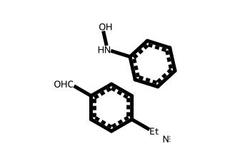 CCc1ccc(C=O)cc1.ONc1ccccc1.[N]